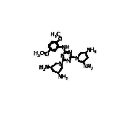 COc1ccc(OC)c(Nc2nc(N3C[C@H](N)C[C@H](N)C3)nc(N3C[C@H](N)C[C@H](N)C3)n2)c1